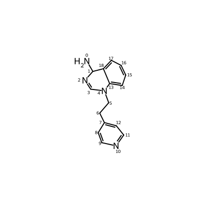 NC1N=CN(CCc2ccncc2)c2ccccc21